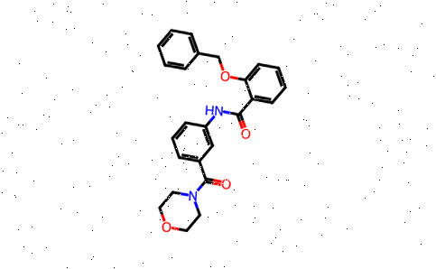 O=C(Nc1cccc(C(=O)N2CCOCC2)c1)c1ccccc1OCc1ccccc1